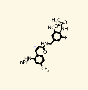 CCCNc1cc(C(F)(F)F)ccc1/C=C\C(=O)NCc1cc(F)c(NS(C)(=O)=O)c(C#N)c1